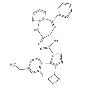 CCc1ccc(-c2c(C(=O)N[C@H]3N=C(c4ccccc4)c4ccccc4NC3=O)cnn2C2CCO2)c(F)c1